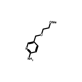 COCCOCc1ccc(N)nc1